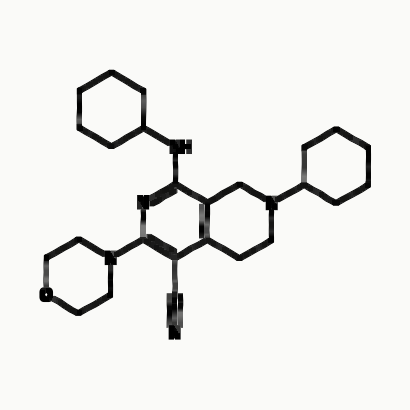 N#Cc1c(N2CCOCC2)nc(NC2CCCCC2)c2c1CCN(C1CCCCC1)C2